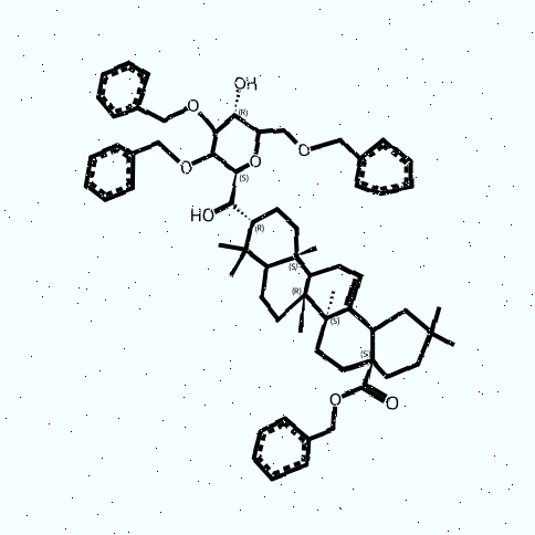 CC1(C)CC[C@]2(C(=O)OCc3ccccc3)CC[C@]3(C)C(=CCC4[C@@]5(C)CC[C@@H](C(O)[C@@H]6OC(COCc7ccccc7)[C@@H](O)C(OCc7ccccc7)C6OCc6ccccc6)C(C)(C)C5CC[C@]43C)C2C1